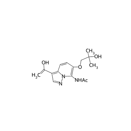 C=C(O)c1cnn2c(NC(C)=O)c(OCC(C)(C)O)ccc12